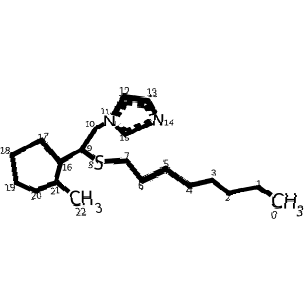 CCCCCCCCSC(Cn1ccnc1)C1CCCCC1C